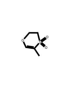 CC1=COCCS1(=O)=O